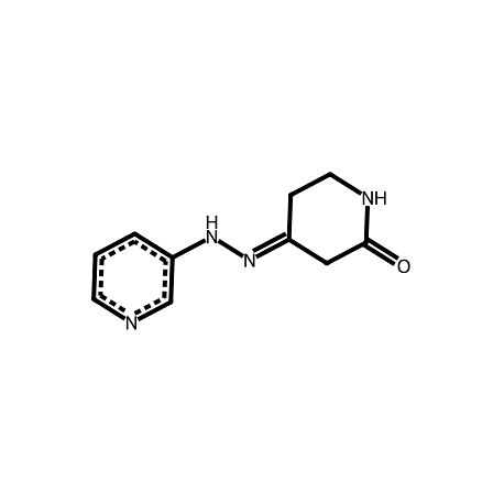 O=C1CC(=NNc2cccnc2)CCN1